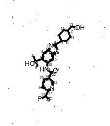 CC(C)(O)c1cc2nc(C3CCC(CO)CC3)sc2cc1NC(=O)c1ccc(C(F)F)nc1